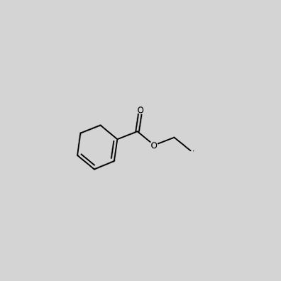 [CH2]COC(=O)C1=CC=CCC1